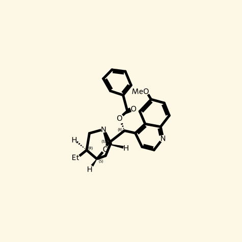 CC[C@H]1CN2CC[C@H]1C[C@H]2[C@H](OC(=O)c1ccccc1)c1ccnc2ccc(OC)cc12